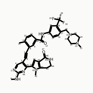 CNc1ncc(C#Cc2cc(C(=O)Nc3ccc(CN4CCN(C)CC4)c(C(F)(F)F)c3)ccc2C)c(-c2cc3c(n2C)CCNC3=O)n1